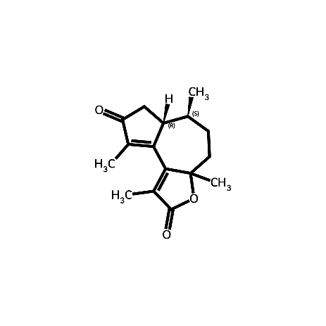 CC1=C2C3=C(C)C(=O)OC3(C)CC[C@H](C)[C@H]2CC1=O